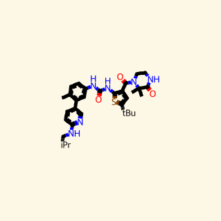 Cc1ccc(NC(=O)Nc2sc(C(C)(C)C)cc2C(=O)N2CCNC(=O)C2(C)C)cc1-c1ccc(NCC(C)C)nc1